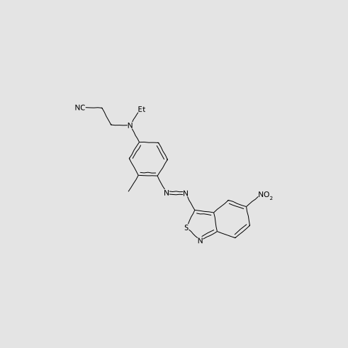 CCN(CCC#N)c1ccc(N=Nc2snc3ccc([N+](=O)[O-])cc23)c(C)c1